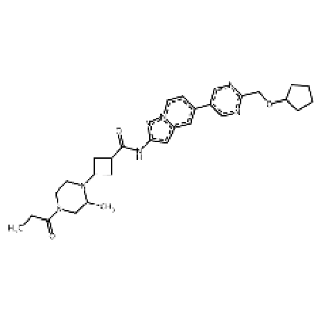 CCC(=O)N1CCN(C2CC(C(=O)Nc3cc4cc(-c5cnc(COC6CCCC6)nc5)ccn4n3)C2)C(C)C1